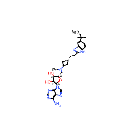 COCC(C)(C)c1ccc2[nH]c(CC[C@H]3C[C@H](N(C[C@H]4O[C@@H](n5cnc6c(N)ncnc65)[C@@H](O)[C@H]4O)C(C)C)C3)nc2c1